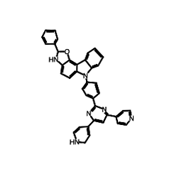 C1=CC(c2cc(-c3ccncc3)nc(-c3ccc(-n4c5ccccc5c5c6c(ccc54)NC(c4ccccc4)O6)cc3)n2)=CCN1